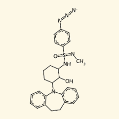 CN=S(=O)(NC1CCCC(N2c3ccccc3CCc3ccccc32)C1O)c1ccc(N=[N+]=[N-])cc1